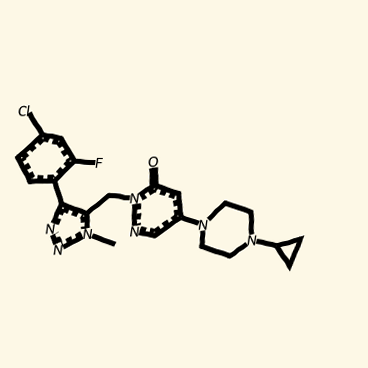 Cn1nnc(-c2ccc(Cl)cc2F)c1Cn1ncc(N2CCN(C3CC3)CC2)cc1=O